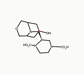 O=C(O)N1CCN(C(=O)O)[C@@H](CN2C3COCC2CC(O)C3)C1